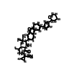 CC(C)CC(NC(c1ccc2c(c1)oc1ccc(-c3cn(C4CCCCO4)cn3)cc12)C(F)(F)F)C(=O)NC1(C#N)CC1